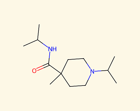 CC(C)NC(=O)C1(C)CCN(C(C)C)CC1